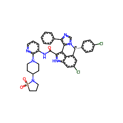 O=C(Nc1cccnc1N1CCC(N2CCCS2(=O)=O)CC1)c1[nH]c2cc(Cl)cc3c2c1-c1c(-c2ccccc2)ncn1[C@@H]3c1ccc(Cl)cc1